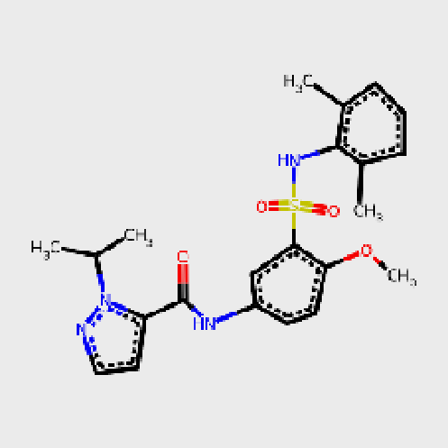 COc1ccc(NC(=O)c2ccnn2C(C)C)cc1S(=O)(=O)Nc1c(C)cccc1C